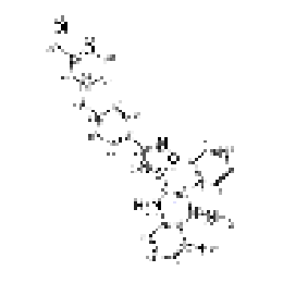 N/C(=C(/c1ccncc1)N(N)c1ccccc1F)c1nc(-c2ccc(CN3CCOC(CO)C3)cc2)no1